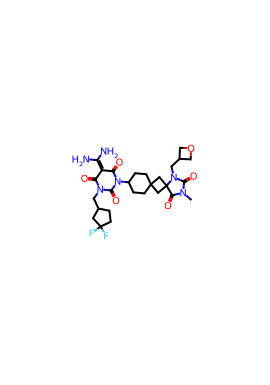 CN1C(=O)N(CC2COC2)C2(CC3(CCC(N4C(=O)C(=C(N)N)C(=O)N(CC5CCC(F)(F)C5)C4=O)CC3)C2)C1=O